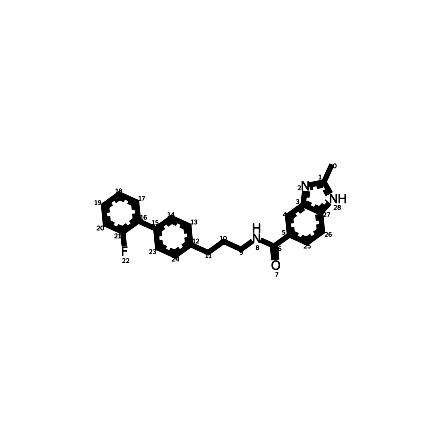 Cc1nc2cc(C(=O)NCCCc3ccc(-c4ccccc4F)cc3)ccc2[nH]1